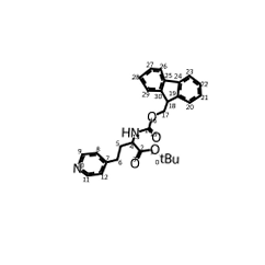 CC(C)(C)OC(=O)C(CCc1ccncc1)NC(=O)OCC1c2ccccc2-c2ccccc21